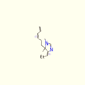 C=C/C=C\CCC1(C)/C(=C\CC)N=CN1C